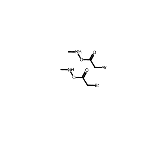 CNOC(=O)CBr.CNOC(=O)CBr